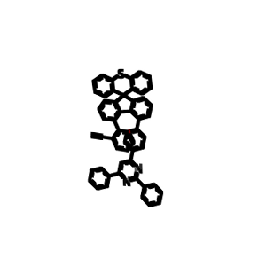 C#Cc1ccccc1-c1cccc2c1-c1c(-c3ccc(-c4cc(-c5ccccc5)nc(-c5ccccc5)n4)cc3)cccc1C21c2ccccc2Sc2ccccc21